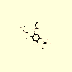 C=CC(=O)Nc1cc(NC(=N)N=C)c(OC)cc1N(C)CCN(C)C